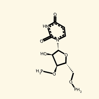 O=c1ccn([C@@H]2O[C@H](COP)[C@@H](OP)[C@H]2O)c(=O)[nH]1